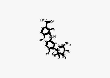 COc1ccc(C(=O)O)c(C)c1Nc1ccc(F)c([C@@]2(C)N=C(N)N(C)C(=O)C2(C)C)c1